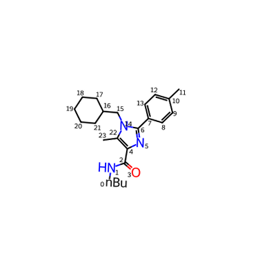 CCCCNC(=O)c1nc(-c2ccc(C)cc2)n(CC2CCCCC2)c1C